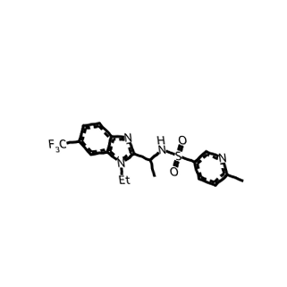 CCn1c(C(C)NS(=O)(=O)c2ccc(C)nc2)nc2ccc(C(F)(F)F)cc21